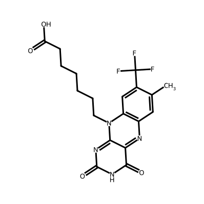 Cc1cc2nc3c(=O)[nH]c(=O)nc-3n(CCCCCCC(=O)O)c2cc1C(F)(F)F